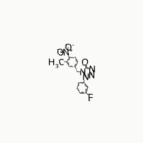 Cc1cc(Cn2c(=O)nnn2-c2cccc(F)c2)ccc1[N+](=O)[O-]